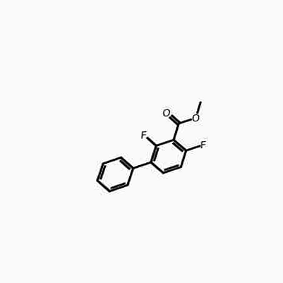 COC(=O)c1c(F)ccc(-c2ccccc2)c1F